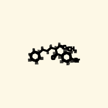 C=C=CC(CCCc1ccccc1)C(=O)c1ccc(Br)cc1